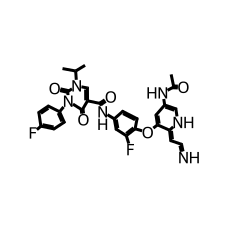 CC(=O)NC1=CN/C(=C\C=N)C(Oc2ccc(NC(=O)c3cn(C(C)C)c(=O)n(-c4ccc(F)cc4)c3=O)cc2F)=C1